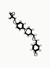 CC1(COc2ccc(N3CCC(COCc4ccc(Cl)cc4)CC3)cc2)CO1